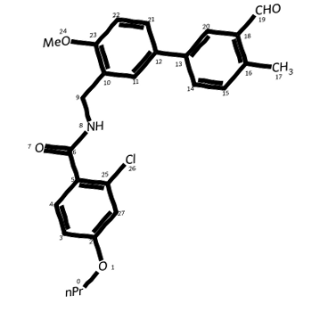 CCCOc1ccc(C(=O)NCc2cc(-c3ccc(C)c(C=O)c3)ccc2OC)c(Cl)c1